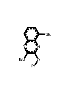 CC(C)Oc1nc2c(C(C)(C)C)cccc2nc1C(C)(C)C